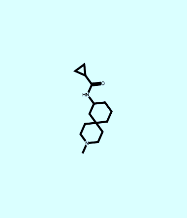 CN1CCC2(CCCC(NC(=O)C3CC3)C2)CC1